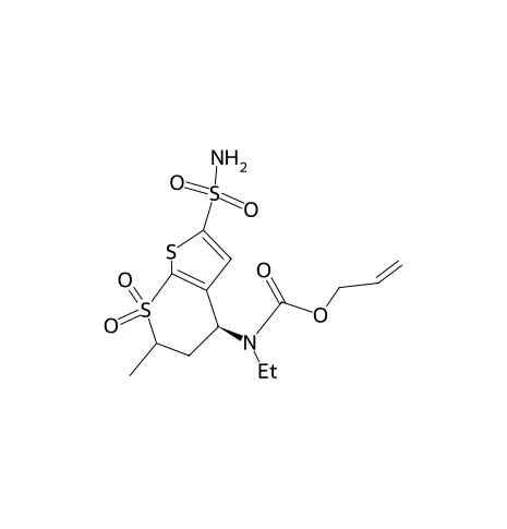 C=CCOC(=O)N(CC)[C@H]1CC(C)S(=O)(=O)c2sc(S(N)(=O)=O)cc21